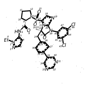 CCn1nccc1NC(=O)[C@@H]1CCCN1S(=O)(=O)c1cnc2n1[C@](C)(Cc1ccc(-c3cncnc3)cc1)C(=O)N2c1cc(Cl)cc(Cl)c1